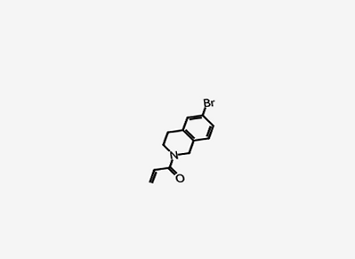 C=CC(=O)N1CCc2cc(Br)ccc2C1